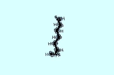 O=P(O)(O)OCC(CNF)COP(=O)(O)OCCOP(=O)(O)OCCOP(=O)(O)OCCOP(=O)(O)OCCOP(=O)(O)OCC(CO)CNF